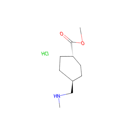 CNC[C@H]1CC[C@H](C(=O)OC)CC1.Cl